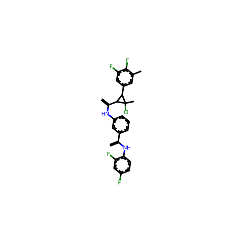 C=C(Nc1ccc(F)cc1F)c1cccc(NC(=C)C2C(c3cc(C)c(F)c(F)c3)C2(C)Cl)c1